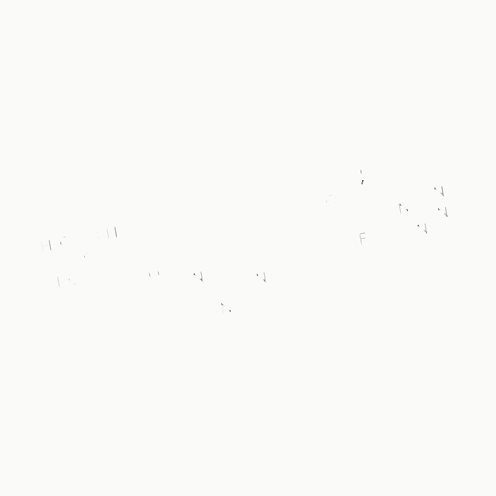 C[C@@H](Cn1cnnn1)Oc1cc(-c2ccc3c(ncn3COCC[Si](C)(C)C)n2)ccc1F